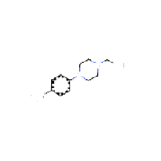 O=CCN1CCN(c2ccc([N+](=O)[O-])cc2)CC1